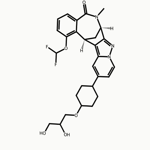 CN1C(=O)c2cccc(OC(F)F)c2[C@H]2C[C@@H]1c1nn3ccc(C4CCC(OCC(O)CO)CC4)cc3c12